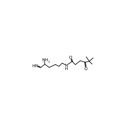 CC(C)(C)C(=O)CCC(=O)NCCCCC(N)C=N